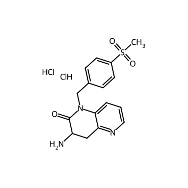 CS(=O)(=O)c1ccc(CN2C(=O)C(N)Cc3ncccc32)cc1.Cl.Cl